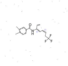 C=C/C(=C\C=C/CC(F)(F)F)NC(=O)c1ccc(C)c(C)c1